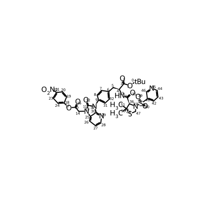 CC(C)(C)OC(=O)[C@H](Cc1ccc(-n2c(=O)n(CC(=O)Oc3ccc([N+](=O)[O-])cc3)c3cccnc32)cc1)NC(=O)[C@H]1N(S(=O)(=O)c2cccnc2)CSC1(C)C